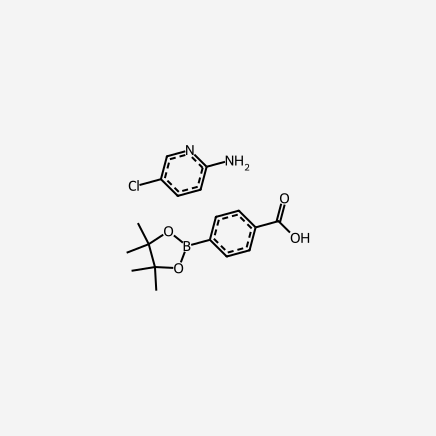 CC1(C)OB(c2ccc(C(=O)O)cc2)OC1(C)C.Nc1ccc(Cl)cn1